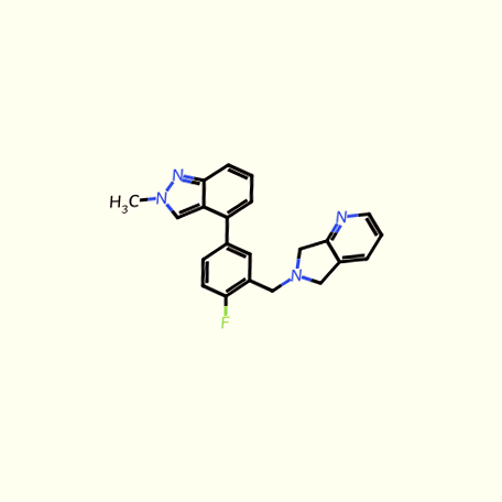 Cn1cc2c(-c3ccc(F)c(CN4Cc5cccnc5C4)c3)cccc2n1